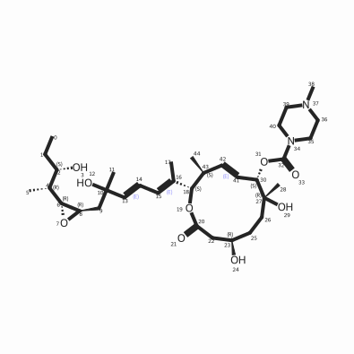 CC[C@H](O)[C@@H](C)[C@H]1O[C@@H]1CC(C)(O)/C=C/C=C(\C)[C@H]1OC(=O)C[C@H](O)CC[C@@](C)(O)[C@@H](OC(=O)N2CCN(C)CC2)/C=C/[C@@H]1C